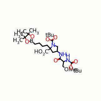 COCC(NC(=O)OC(C)(C)C)C(=O)NC1CN(C(=O)OC(C)(C)C)C(CCCCB2OC(C)(C)C(C)(C)O2)(C(=O)O)C1